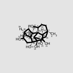 C[C@@]12CCC(O)[C@@]34[C@@H]5C[C@@H]6C(O)C[C@@](O)([C@H]5C6O)[C@@](O)(C(O)[C@H]13)[C@@H]4N(O)C2